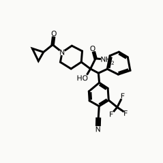 N#Cc1ccc(C(c2ccccc2)C(O)(C(N)=O)C2CCN(C(=O)C3CC3)CC2)cc1C(F)(F)F